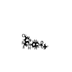 CC(C)(C)OC(=O)N1C[C@H]2C[C@H](Nc3nnc(Cl)cc3C(F)(F)F)C[C@H]2C1